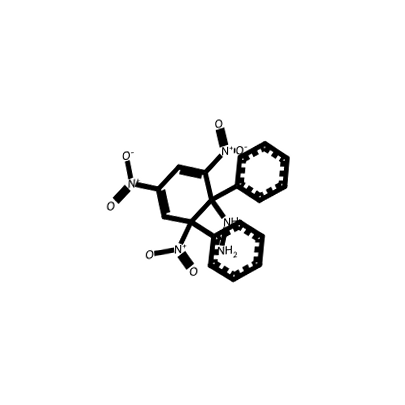 NNC1(c2ccccc2)C([N+](=O)[O-])=CC([N+](=O)[O-])=CC1(c1ccccc1)[N+](=O)[O-]